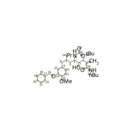 C=C(CC(O)C(CC(Cc1ccc(OC)c(OCc2ccccc2)c1)C(C)C)NC(=O)OC(C)(C)C)C(=O)NCCCC